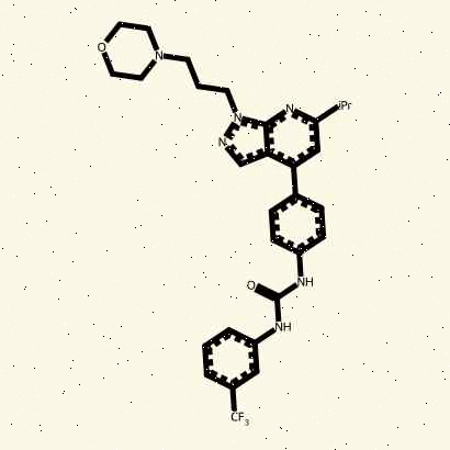 CC(C)c1cc(-c2ccc(NC(=O)Nc3cccc(C(F)(F)F)c3)cc2)c2cnn(CCCN3CCOCC3)c2n1